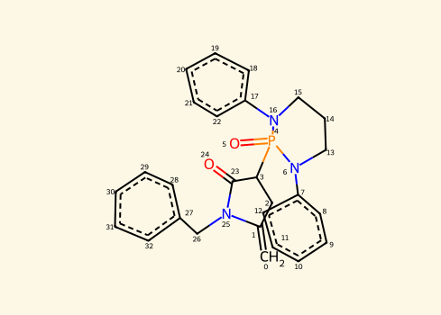 C=C1CC(P2(=O)N(c3ccccc3)CCCN2c2ccccc2)C(=O)N1Cc1ccccc1